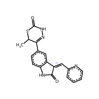 CC1SC(=O)NN=C1c1ccc2c(c1)/C(=C/c1ccccn1)C(=O)N2